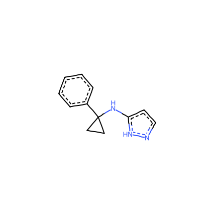 c1ccc(C2(Nc3ccn[nH]3)CC2)cc1